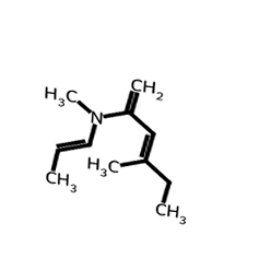 C=C(/C=C(\C)CC)N(C)/C=C/C